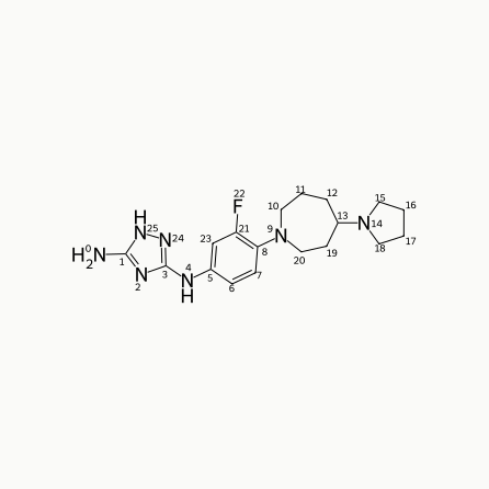 Nc1nc(Nc2ccc(N3CCCC(N4CCCC4)CC3)c(F)c2)n[nH]1